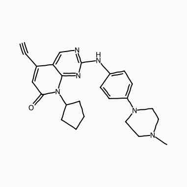 C#Cc1cc(=O)n(C2CCCC2)c2nc(Nc3ccc(N4CCN(C)CC4)cc3)ncc12